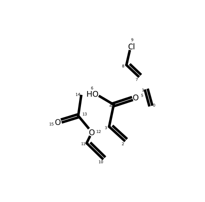 C=C.C=CC(=O)O.C=CCl.C=COC(C)=O